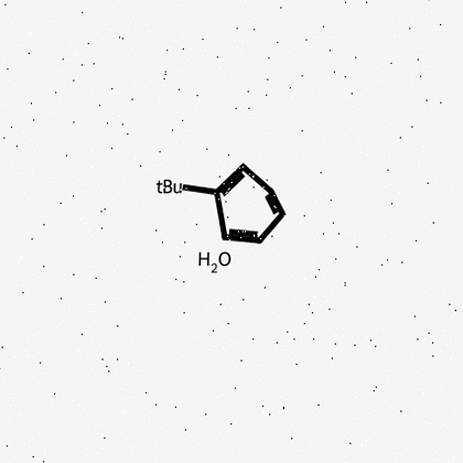 CC(C)(C)c1ccccc1.O